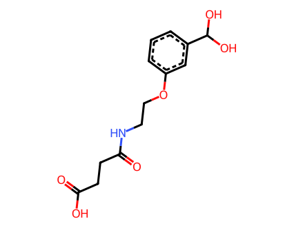 O=C(O)CCC(=O)NCCOc1cccc(C(O)O)c1